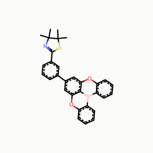 CC1(C)N=C(c2cccc(-c3cc4c5c(c3)Oc3ccccc3B5c3ccccc3O4)c2)SC1(C)C